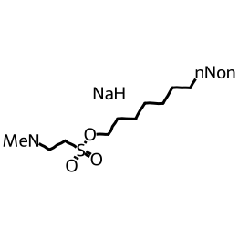 CCCCCCCCCCCCCCCCOS(=O)(=O)CCNC.[NaH]